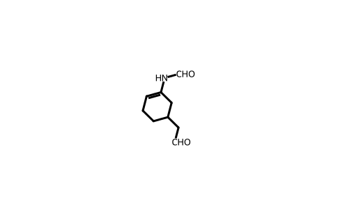 O=CCC1CCC=C(NC=O)C1